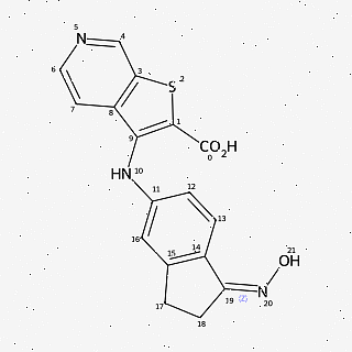 O=C(O)c1sc2cnccc2c1Nc1ccc2c(c1)CC/C2=N/O